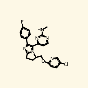 CNc1nccc(-c2c(-c3ccc(F)cc3)nc3n2C(COc2ccc(Cl)cn2)CC3)n1